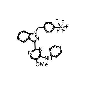 COc1cnc(-c2nn(Cc3ccc(S(F)(F)(F)(F)F)cc3)c3ccccc23)nc1Nc1ccncc1